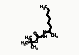 CCCCCCC(C)=NNC(=O)OC(C)(C)C